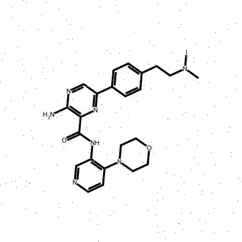 CN(I)CCc1ccc(-c2cnc(N)c(C(=O)Nc3cnccc3N3CCOCC3)n2)cc1